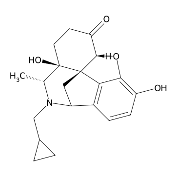 C[C@H]1N(CC2CC2)C2C[C@]34c5c2ccc(O)c5O[C@H]3C(=O)CC[C@@]14O